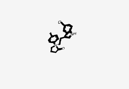 Cc1ccc([N+]2(CCc3c[nH]c4ccc(Cl)cc34)CCCC2=O)cc1